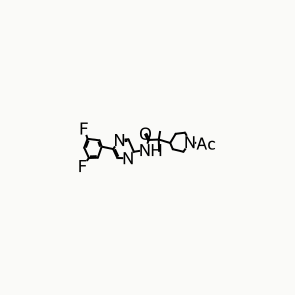 CC(=O)N1CCC(C(C)(C)C(=O)Nc2cnc(-c3cc(F)cc(F)c3)cn2)CC1